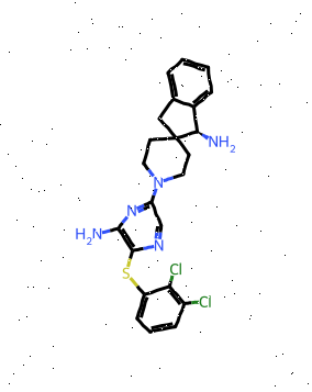 Nc1nc(N2CCC3(CC2)Cc2ccccc2[C@H]3N)cnc1Sc1cccc(Cl)c1Cl